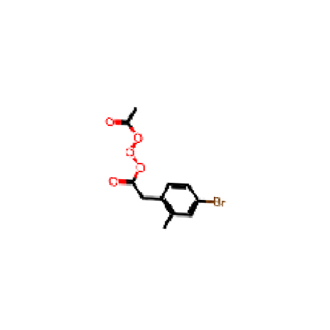 CC(=O)OOOC(=O)Cc1ccc(Br)cc1C